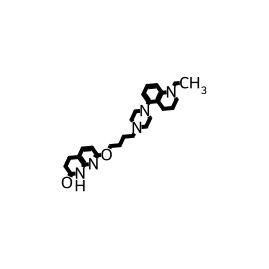 CCN1CCCc2c1cccc2N1CCN(CCCCOc2ccc3c(n2)NC(=O)CC3)CC1